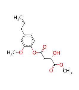 C=CCc1ccc(OC(=O)C[C@H](O)C(=O)OC)c(OC)c1